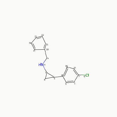 Clc1ccc(C2CC2NCc2ccccc2)cc1